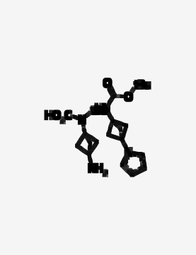 CC(C)(C)N(C(=O)O)C12CC(N)(C1)C2.CC(C)(C)OC(=O)NC12CC(n3cccc3)(C1)C2